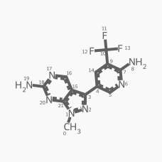 Cn1nc(-c2cnc(N)c(C(F)(F)F)c2)c2cnc(N)nc21